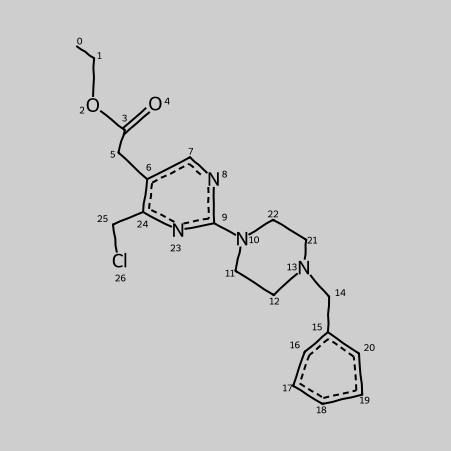 CCOC(=O)Cc1cnc(N2CCN(Cc3ccccc3)CC2)nc1CCl